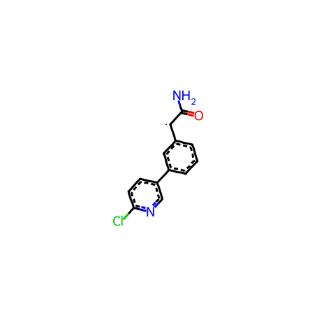 NC(=O)[CH]c1cccc(-c2ccc(Cl)nc2)c1